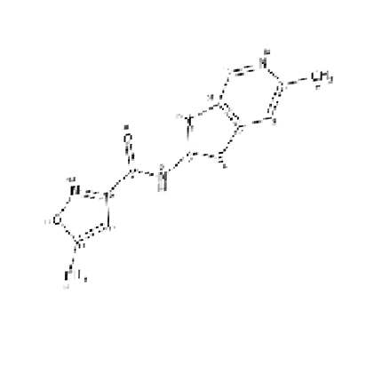 Cc1cc2sc(NC(=O)c3cc(C)on3)nc2cn1